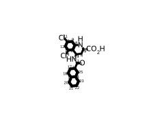 O=C(N[C@@H]1C[C@@H](C(=O)O)Nc2cc(Cl)cc(Cl)c21)c1ccc2ccccc2c1